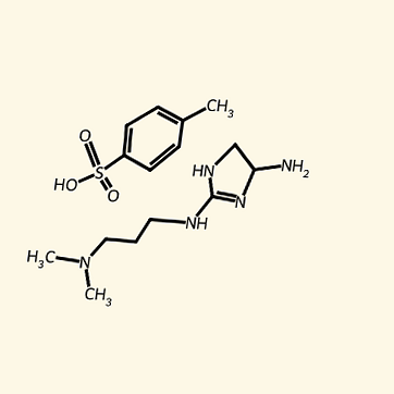 CN(C)CCCNC1=NC(N)CN1.Cc1ccc(S(=O)(=O)O)cc1